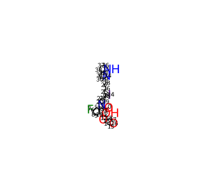 O=C(O)[C@H](c1cc(F)ccc1COC1CCOCC1)N1CCC([C@H](I)CCCCc2ccc3c(n2)NCCC3)C1